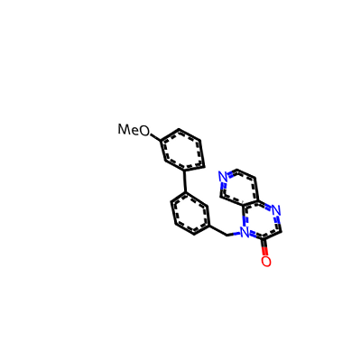 COc1cccc(-c2cccc(Cn3c(=O)cnc4ccncc43)c2)c1